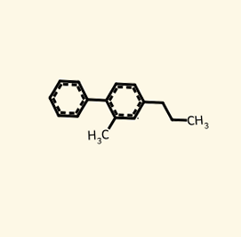 CCCc1[c]c(C)c(-c2ccccc2)cc1